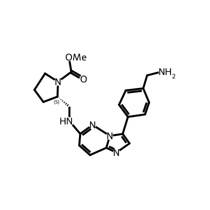 COC(=O)N1CCC[C@H]1CNc1ccc2ncc(-c3ccc(CN)cc3)n2n1